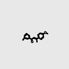 COc1ccc(/C(C)=C/C(=O)c2cccc(C)c2)cc1